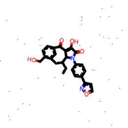 CCC1Cc2cc(ccc2CO)C(=O)C2=C(O)C(=O)N(c3ccc(-c4ccon4)cc3)C21